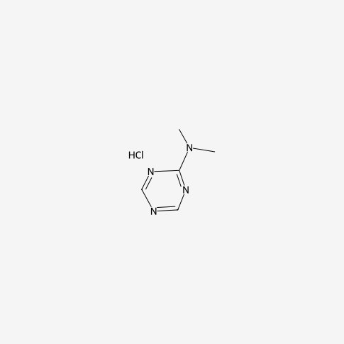 CN(C)c1ncncn1.Cl